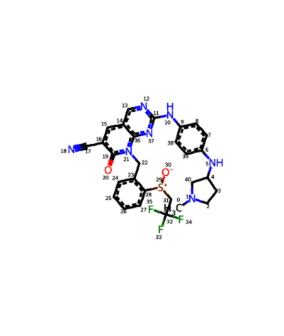 CN1CCC(Nc2ccc(Nc3ncc4cc(C#N)c(=O)n(Cc5ccccc5[S+]([O-])CC(F)(F)F)c4n3)cc2)C1